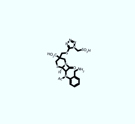 CC(=O)N(c1ccccc1CN)C1C(=O)N2CC(CSc3nnnn3CS(=O)(=O)O)(C(=O)O)CS[C@H]12